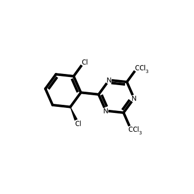 ClC1=C(c2nc(C(Cl)(Cl)Cl)nc(C(Cl)(Cl)Cl)n2)[C@@H](Cl)CC=C1